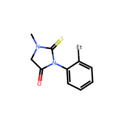 CCc1ccccc1N1C(=O)CN(C)C1=S